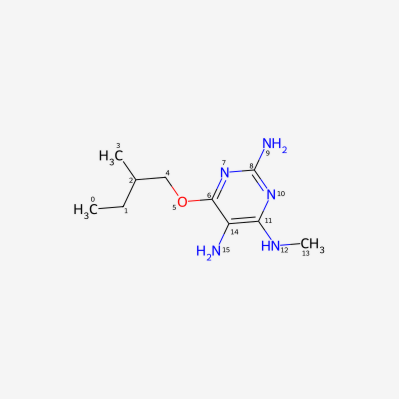 CCC(C)COc1nc(N)nc(NC)c1N